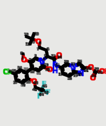 COc1cn(C(CCOC(C)(C)C)C(=O)Nc2ccc3nc(OC(=O)O)cn3c2)c(=O)cc1-c1cc(Cl)ccc1OCC(F)(F)F